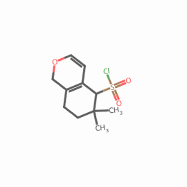 CC1(C)CCC2=C(C=COC2)C1S(=O)(=O)Cl